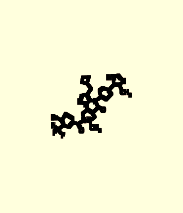 Cc1nc[nH]c1-c1ccc(-n2c(=O)c3c(n4ncc(CC5CCC5)c24)CN(C(=O)c2ccc(Br)c(C(F)(F)F)c2)[C@@H](C)C3)cc1